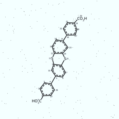 O=C(O)c1ccc(-c2ccc3c(c2)Sc2ccc(-c4ccc(C(=O)O)cc4)cc2S3)cc1